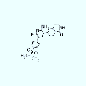 CC(C)S(=O)(=O)c1ccc(-c2cc(-c3ccc4c(c3)CCNC4=O)c(N)nc2F)cc1